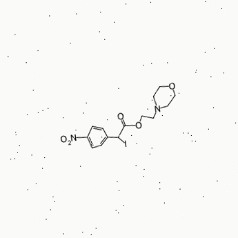 O=C(OCCN1CCOCC1)C(I)c1ccc([N+](=O)[O-])cc1